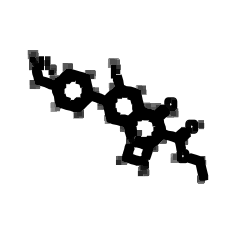 CCOC(=O)c1c2n(c3cc(-c4ccc(CN)cc4)c(F)cc3c1=O)CS2